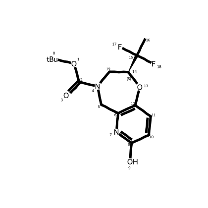 CC(C)(C)OC(=O)N1Cc2nc(O)ccc2O[C@H](C(C)(F)F)C1